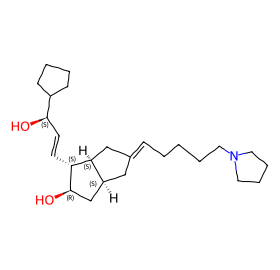 O[C@H](C=C[C@@H]1[C@H]2CC(=CCCCCN3CCCC3)C[C@H]2C[C@H]1O)C1CCCC1